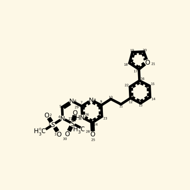 CS(=O)(=O)N(/C=N\c1nc(CCc2cccc(-c3ccco3)c2)cc(=O)[nH]1)S(C)(=O)=O